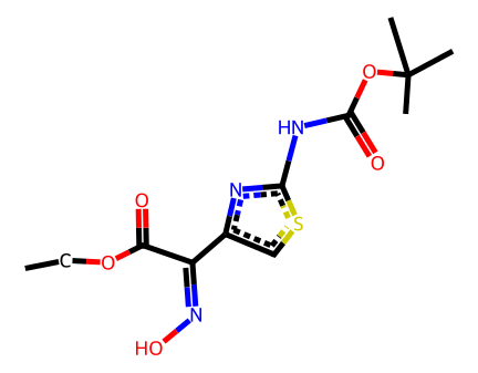 CCOC(=O)/C(=N\O)c1csc(NC(=O)OC(C)(C)C)n1